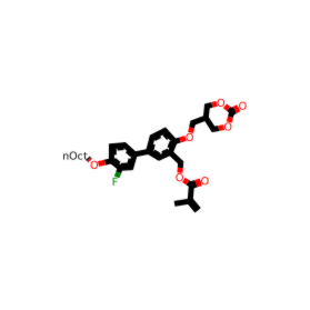 C=C(C)C(=O)OCc1cc(-c2ccc(OCCCCCCCC)c(F)c2)ccc1OCC1COC(=O)OC1